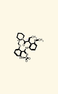 C=Nc1ccccc1/C(=C\C)C(=O)N1CCCC[C@@H]1COc1cccc2c1C(N)=NS(=O)(=O)N2